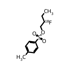 CCC([18F])COS(=O)(=O)c1ccc(C)cc1